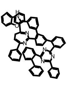 C1=C(c2ccccc2)N=C(c2ccc(-c3ccccc3-c3nc(-c4ccccc4)nc(-c4ccccc4-c4ccccc4)n3)cc2-c2cccc(C3Nc4ccccc4O3)c2)N=C(c2ccccc2)C1